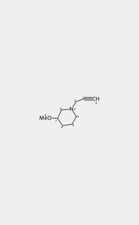 C#CCN1CCCC(OC)C1